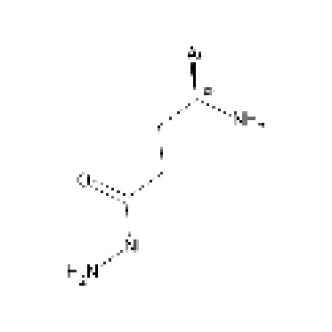 CC(=O)[C@@H](N)CCC(=O)NN